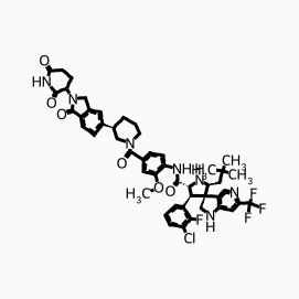 COc1cc(C(=O)N2CCC[C@H](c3ccc4c(c3)CN(C3CCC(=O)NC3=O)C4=O)C2)ccc1NC(=O)[C@@H]1N[C@@H](CC(C)(C)C)[C@@]2(CNc3cc(C(F)(F)F)ncc32)[C@H]1c1cccc(Cl)c1F